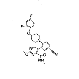 COc1ncc(-c2cc(C#N)ccc2N2CCC(Oc3ccc(F)cc3F)CC2)c(C(N)=O)n1